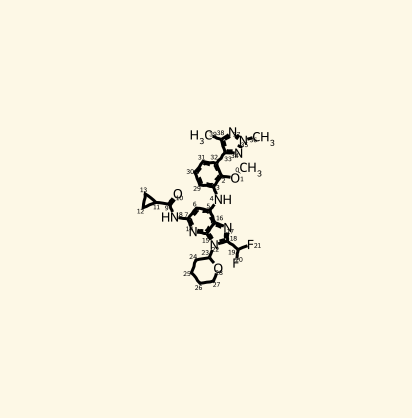 COc1c(Nc2cc(NC(=O)C3CC3)nc3c2nc(C(F)F)n3C2CCCCO2)cccc1-c1nn(C)nc1C